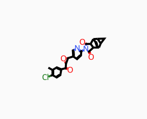 Cc1cc(C(=O)C2OC2c2ccc(N3C(=O)C4C5C=CC(C6CC56)C4C3=O)nc2)ccc1Cl